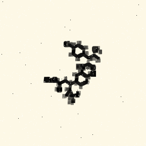 COC(=O)CC(c1ccc(Cl)c(NC(=O)[C@H](c2ccc(Cl)cc2)[C@@H](C)C(F)(F)F)c1)C1CC1(F)F